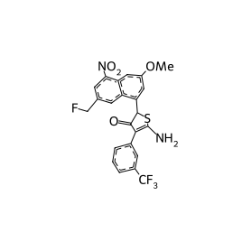 COc1cc(C2SC(N)=C(c3cccc(C(F)(F)F)c3)C2=O)c2cc(CF)cc([N+](=O)[O-])c2c1